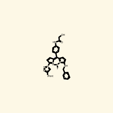 CCCC(C)c1cn(C2=N/C(=C(/c3ccc(NC(=O)CO)cc3)c3ccc(NCc4ccccc4)n3B(F)F)C=C2)nn1